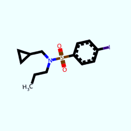 CCCN(CC1CC1)S(=O)(=O)c1ccc(I)cc1